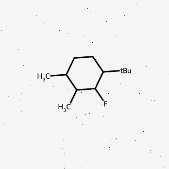 CC1CCC(C(C)(C)C)C(F)C1C